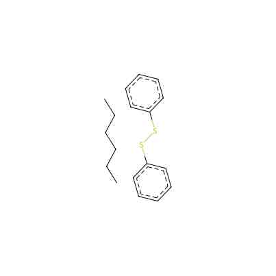 CCCCCC.c1ccc(SSc2ccccc2)cc1